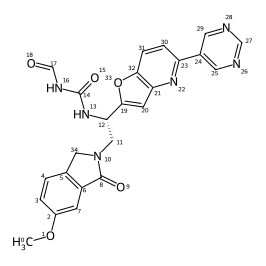 COc1ccc2c(c1)C(=O)N(C[C@H](NC(=O)NC=O)c1cc3nc(-c4cncnc4)ccc3o1)C2